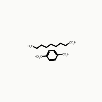 O=C(O)CCCCCCCC(=O)O.O=C(O)c1ccc(C(=O)O)cc1